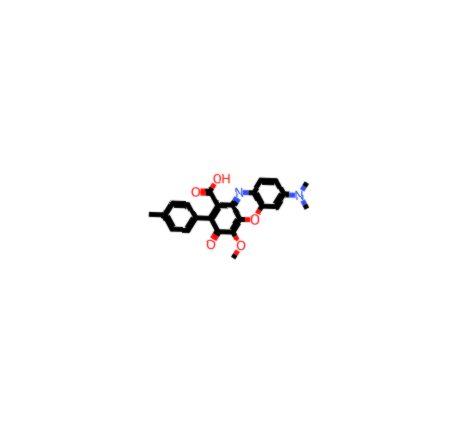 COc1c2oc3cc(N(C)C)ccc3nc-2c(C(=O)O)c(-c2ccc(C)cc2)c1=O